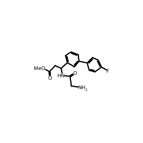 COC(=O)CC(NC(=O)CN)c1cccc(-c2ccc(F)cc2)c1